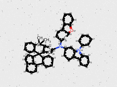 C[Si]1(C)c2ccccc2C2(c3ccccc3-c3cccc4cccc2c34)c2ccc(N(c3ccc4c(c3)oc3ccccc34)c3ccc4c5ccccc5n(-c5ccccc5)c4c3)cc21